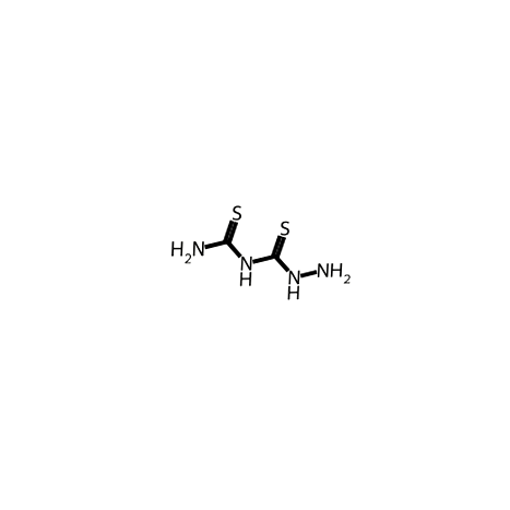 NNC(=S)NC(N)=S